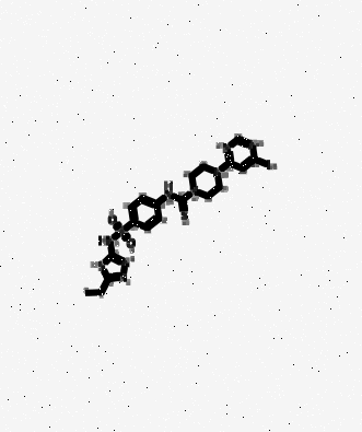 CCc1nnc(NS(=O)(=O)c2ccc(NC(=S)N3CCN(c4cc(I)ncn4)CC3)cc2)s1